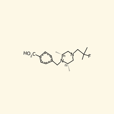 C[C@@H]1CN(CC(C)(C)F)C[C@H](C)N1Cc1ccc(C(=O)O)cc1